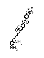 Nc1ccc(CCCCCCC(=Cc2ccc(OC(=O)c3ccc(OC(F)(F)C(F)F)cc3)cc2)C(=O)O)c(N)c1